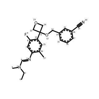 CCN(C)C=Nc1cc(F)c(C2(OCc3cccc(C#N)c3)COC2)cc1C